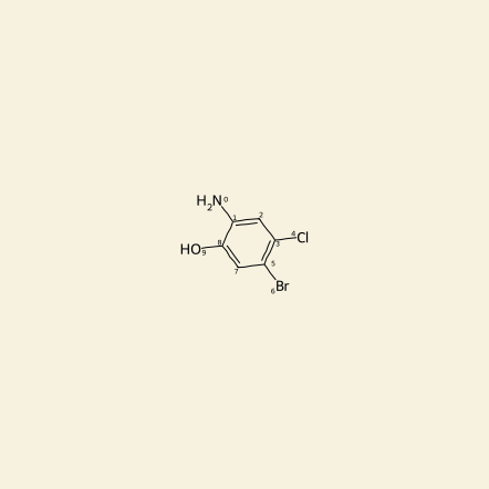 Nc1cc(Cl)c(Br)cc1O